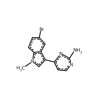 Cn1cc(-c2ccnc(N)n2)c2cc(Br)ccc21